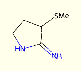 CSC1CCNC1=N